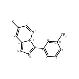 Cc1cnn2c(-c3cccc(C(F)(F)F)c3)nnc2c1